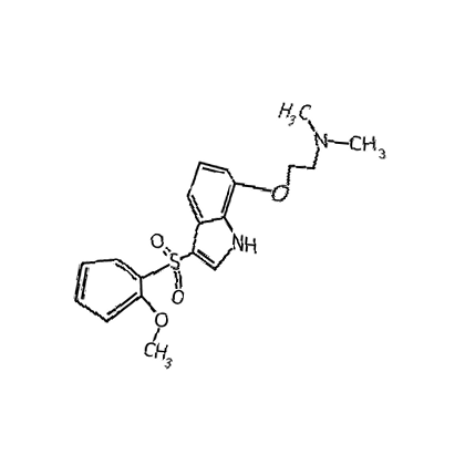 COc1ccccc1S(=O)(=O)c1c[nH]c2c(OCCN(C)C)cccc12